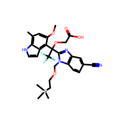 COc1cc(C)c2[nH]ccc2c1C(OCC(=O)O)(c1nc2cc(C#N)ccc2n1COCC[Si](C)(C)C)C(F)(F)F